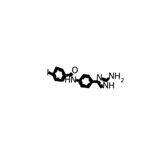 Nc1nc(-c2ccc(NC(=O)c3ccc(I)cc3)cc2)c[nH]1